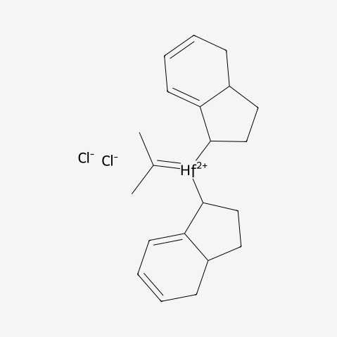 C[C](C)=[Hf+2]([CH]1CCC2CC=CC=C21)[CH]1CCC2CC=CC=C21.[Cl-].[Cl-]